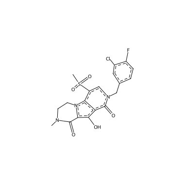 CN1CCn2c(c(O)c3c(=O)n(Cc4ccc(F)c(Cl)c4)cc(S(C)(=O)=O)c32)C1=O